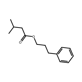 CC(C)CC(=O)OCCCc1ccccc1